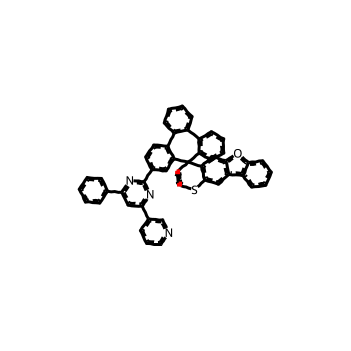 c1ccc(-c2cc(-c3cccnc3)nc(-c3ccc4c(c3)C3(c5ccccc5Sc5cc6c(cc53)oc3ccccc36)c3ccccc3-c3ccccc3-4)n2)cc1